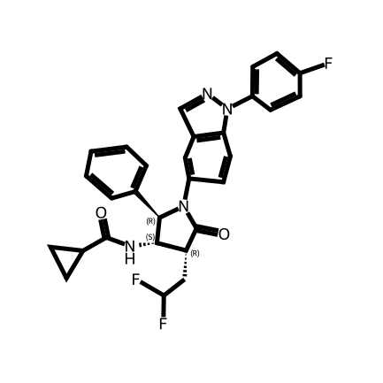 O=C(N[C@@H]1[C@@H](c2ccccc2)N(c2ccc3c(cnn3-c3ccc(F)cc3)c2)C(=O)[C@@H]1CC(F)F)C1CC1